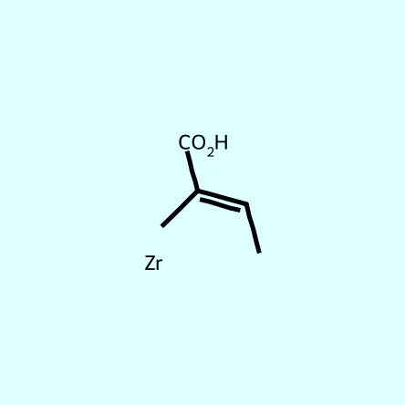 CC=C(C)C(=O)O.[Zr]